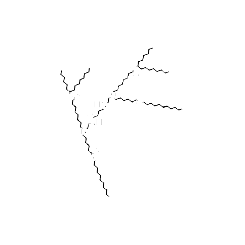 CCCCCCCCCCCOC(=O)CCCCCN(CCCCCCCC(=O)OC(CCCCCC)CCCCCCCC)CCNC(=O)CCC(=O)NCCN(CCCCCCCC(=O)OC(CCCCCC)CCCCCCCC)CCCCCC(=O)OCCCCCCCCCCC